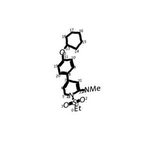 CCS(=O)(=O)N1CC=C(c2ccc(OC3CCCCC3)cc2)C=C1NC